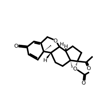 CC(=O)O[C@@]1(C(C)=O)CC[C@H]2[C@@H]3OCC4=CC(=O)C=C[C@]4(C)[C@H]3CC[C@@]21C